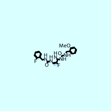 COc1ccccc1CNC(=O)NC(=N)/C(F)=C\NC(=O)NCc1ccccc1F